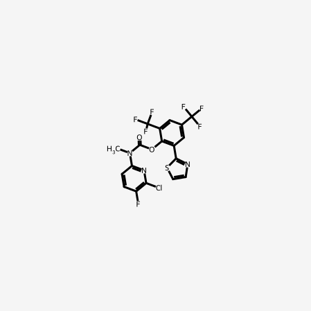 CN(C(=O)Oc1c(-c2nccs2)cc(C(F)(F)F)cc1C(F)(F)F)c1ccc(F)c(Cl)n1